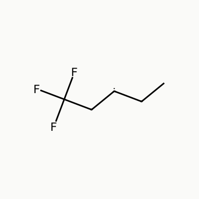 CC[CH]CC(F)(F)F